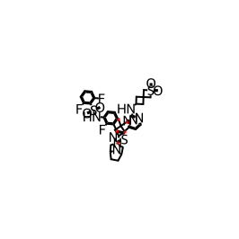 CC1(C#N)CC(N2CC3CCC(C2)N3c2nc(-c3cccc(NS(=O)(=O)c4c(F)cccc4F)c3F)c(-c3ccnc(NC4CC5(C4)CS(=O)(=O)C5)n3)s2)C1